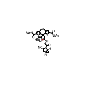 CNC(=O)c1cc2c(s1)C(C[C@@H](C)NCC(=O)N1[C@H](C#N)C[C@@H]3C[C@@H]31)(c1nn[nH]n1)c1sc(C(=O)NC)cc1CC2